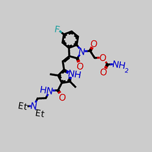 CCN(CC)CCNC(=O)c1c(C)[nH]c(C=C2C(=O)N(C(=O)COC(N)=O)c3ccc(F)cc32)c1C